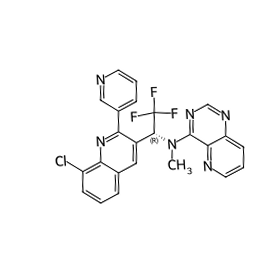 CN(c1ncnc2cccnc12)[C@H](c1cc2cccc(Cl)c2nc1-c1cccnc1)C(F)(F)F